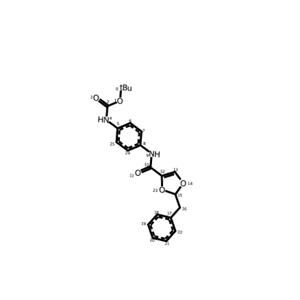 CC(C)(C)OC(=O)Nc1ccc(NC(=O)C2=COC(Cc3ccccc3)O2)cc1